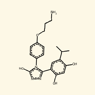 CC(C)c1cc(-c2nnc(O)n2-c2ccc(OCCCN)cc2)c(O)cc1O